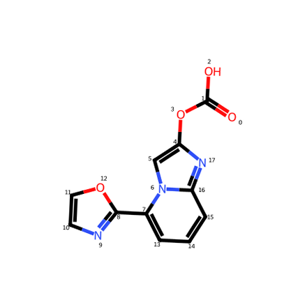 O=C(O)Oc1cn2c(-c3ncco3)cccc2n1